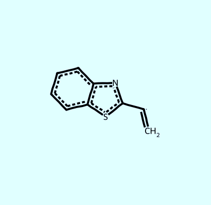 C=[C]c1nc2ccccc2s1